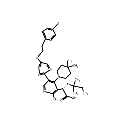 CCC(C)(C)O[C@H](C(=O)O)c1c(C)ncc(-c2ncc(OCCc3ccc(F)cc3)cn2)c1N1CCC(C)(C)CC1